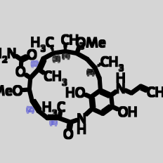 C=CCNc1c(O)cc2c(O)c1C[C@@H](C)CC(OC)[C@H](C)[C@@H](C)/C=C(\C)C(OC(N)=O)C(OC)/C=C\C=C(/C)C(=O)N2